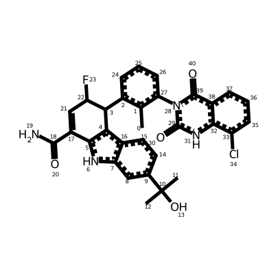 Cc1c(C2c3c([nH]c4cc(C(C)(C)O)ccc34)C(C(N)=O)=CC2F)cccc1-n1c(=O)[nH]c2c(Cl)cccc2c1=O